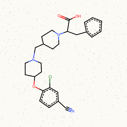 N#Cc1ccc(OC2CCN(CC3CCN(C(Cc4ccccc4)C(=O)O)CC3)CC2)c(Cl)c1